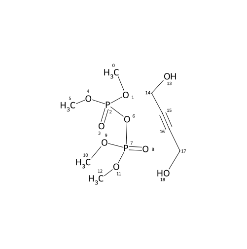 COP(=O)(OC)OP(=O)(OC)OC.OCC#CCO